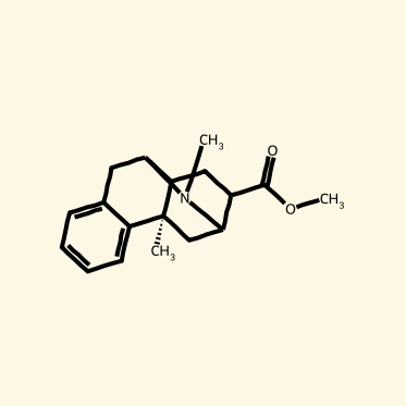 COC(=O)C1CC2C3Cc4ccccc4[C@]2(C)CC1N3C